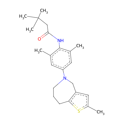 Cc1cc2c(s1)CCCN(c1cc(C)c(NC(=O)CC(C)(C)C)c(C)c1)C2